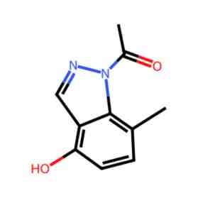 CC(=O)n1ncc2c(O)ccc(C)c21